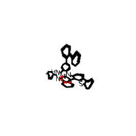 C1=CCCC(C2CC=CC=C2C2=CC=C(N3C4CC=CC=C4C4c5sc6ccccc6c5C=CC43)C(C3N=C(C4C=CCCC4)N=C(c4ccccc4)N3)=CC2)=C1